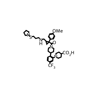 COc1ccc(C2(C(=O)N3CCC(c4ccc(C(F)(F)F)cc4N4CCC(C(=O)O)CC4)CC3)CC2CNCCCSN2CCCC2)cc1